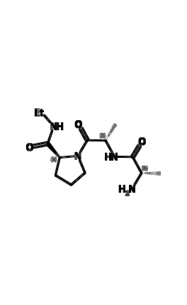 CCNC(=O)[C@@H]1CCCN1C(=O)[C@H](C)NC(=O)[C@H](C)N